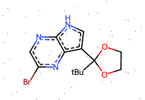 CC(C)(C)C1(c2c[nH]c3ncc(Br)nc23)OCCO1